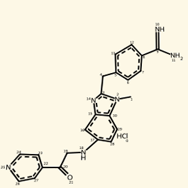 Cl.Cn1c(Cc2ccc(C(=N)N)cc2)nc2cc(NCC(=O)c3ccncc3)ccc21